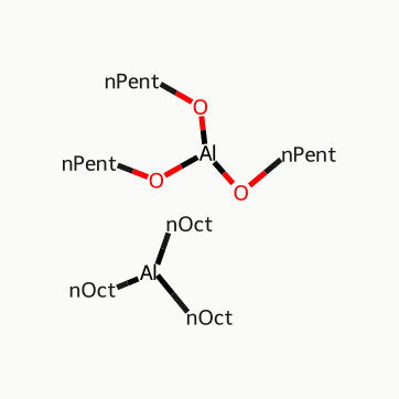 CCCCCCC[CH2][Al]([CH2]CCCCCCC)[CH2]CCCCCCC.CCCCC[O][Al]([O]CCCCC)[O]CCCCC